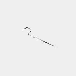 CCCCC/C=C\C/C=C\C/C=C\C/C=C\CCCC(=O)OCCCCCCCCCCCCCCCCCCC